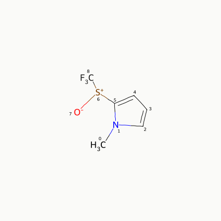 Cn1cccc1[S+]([O-])C(F)(F)F